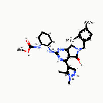 COc1ccc(CN2Cc3nc(N[C@@H]4CCCC[C@@H]4NC(=O)OC(C)(C)C)nc(-c4cnn(C)c4C)c3C2=O)c(OC)c1